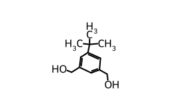 CC(C)(C)c1cc(CO)cc(CO)c1